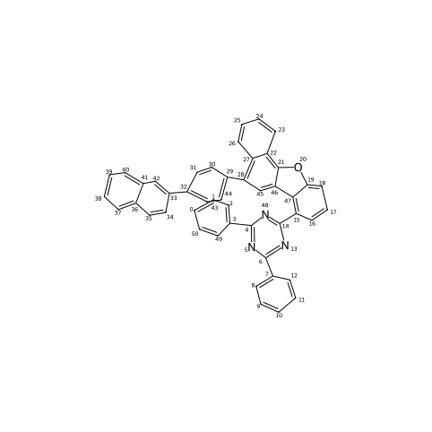 c1ccc(-c2nc(-c3ccccc3)nc(-c3cccc4oc5c6ccccc6c(-c6ccc(-c7ccc8ccccc8c7)cc6)cc5c34)n2)cc1